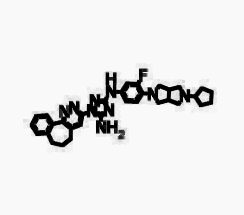 Nc1nc(Nc2ccc(N3CC4CN(C5CCCC5)CC4C3)c(F)c2)nn1-c1cc2c(nn1)-c1ccccc1CCC2